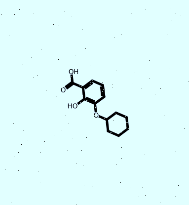 O=C(O)c1cccc(OC2CCCCC2)c1O